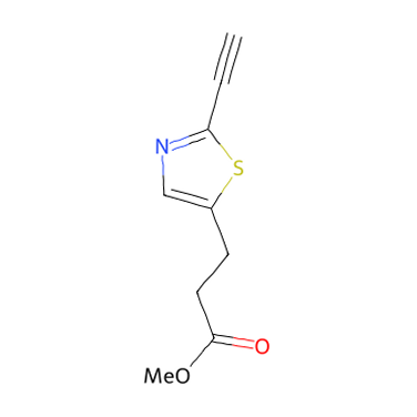 C#Cc1ncc(CCC(=O)OC)s1